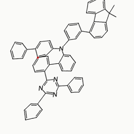 CC1(C)c2ccccc2-c2c(-c3cccc(N(c4ccc(-c5ccccc5)cc4)c4ccccc4-c4ccccc4-c4nc(-c5ccccc5)nc(-c5ccccc5)n4)c3)cccc21